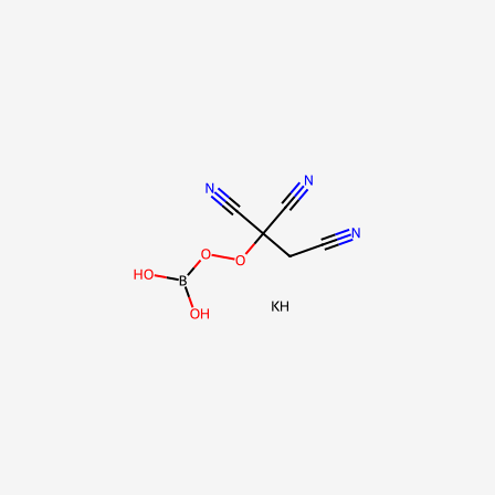 N#CCC(C#N)(C#N)OOB(O)O.[KH]